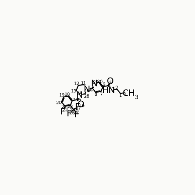 CCCNC(=O)c1ccc(N2CCCN(C(=O)c3cccc(F)c3C(F)(F)F)C2)nc1